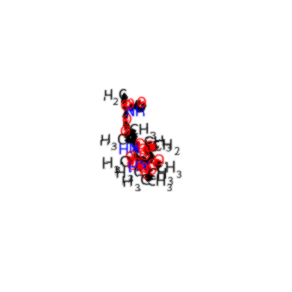 C=CCOC[C@H](COCCOc1c(C)cc(C(=O)NC[C@@H](OC(C)=O)[C@@H](OC(C)=O)[C@@H]2O[C@@](CC=C)(C(=O)OC)C[C@H](OC(C)=O)[C@H]2NC(=O)OC(C)(C)C)cc1C)NC(=O)C1CCCOC1